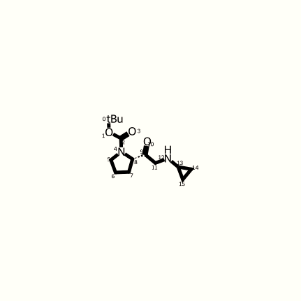 CC(C)(C)OC(=O)N1CCC[C@H]1C(=O)CNC1CC1